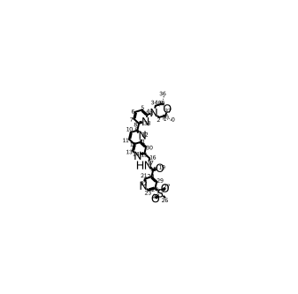 C[C@@H]1CN(c2cccc(-c3ccc4cnc(CNC(=O)c5cncc(S(C)(=O)=O)c5)cc4n3)n2)C[C@H](C)O1